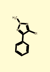 CCc1nn(C)nc1-c1ccccc1